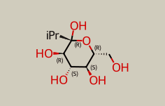 CC(C)[C@@]1(O)O[C@H](CO)[C@@H](O)[C@H](O)[C@H]1O